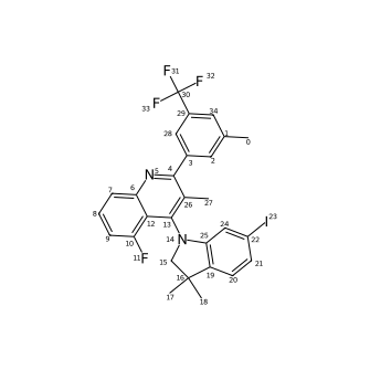 Cc1cc(-c2nc3cccc(F)c3c(N3CC(C)(C)c4ccc(I)cc43)c2C)cc(C(F)(F)F)c1